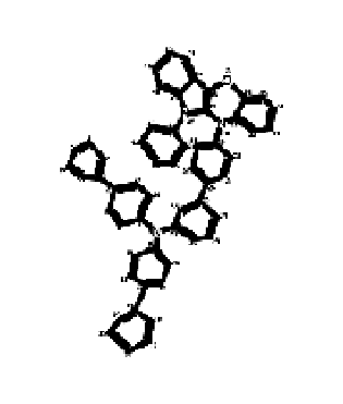 c1ccc(-c2ccc(N(c3ccc(-c4ccccc4)cc3)c3cccc(-c4ccc(N5c6ccccc6Oc6c5n(-c5ccccc5)c5ccccc65)cc4)c3)cc2)cc1